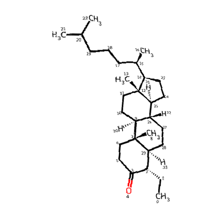 CC[C@@H]1C(=O)CC[C@]2(C)[C@H]3CC[C@]4(C)[C@@H]([C@H](C)CCCC(C)C)CC[C@H]4[C@@H]3CC[C@@H]12